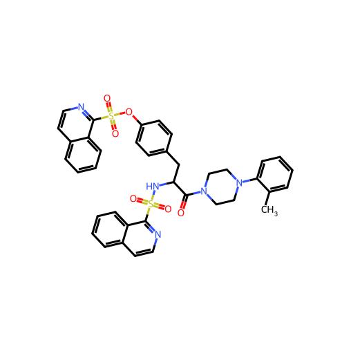 Cc1ccccc1N1CCN(C(=O)C(Cc2ccc(OS(=O)(=O)c3nccc4ccccc34)cc2)NS(=O)(=O)c2nccc3ccccc23)CC1